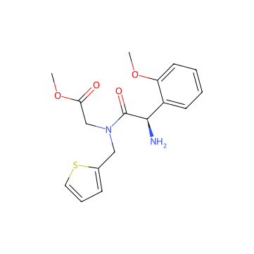 COC(=O)CN(Cc1cccs1)C(=O)[C@H](N)c1ccccc1OC